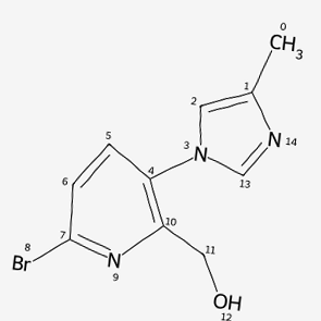 Cc1cn(-c2ccc(Br)nc2CO)cn1